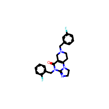 O=C1C2=C(CCN(Cc3cccc(F)c3)C2)N2CCN=C2N1Cc1ccccc1F